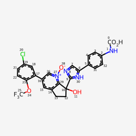 O=C(O)Nc1ccc(-c2cnc(C3(O)CCc4cc(-c5cc(Cl)ccc5OC(F)(F)F)c[n+]([O-])c43)[nH]2)cc1